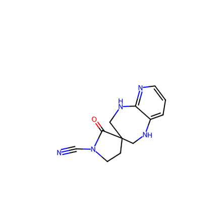 N#CN1CCC2(CNc3cccnc3NC2)C1=O